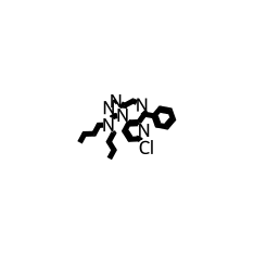 CCCCN(CCCC)c1nnc2n1-c1ccc(Cl)nc1C(c1ccccc1)=NC2